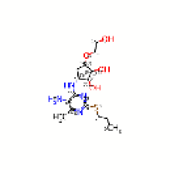 CCCSc1nc(C)c(N)c(N[C@@H]2C[C@H](OCCO)[C@@H](O)[C@H]2O)n1